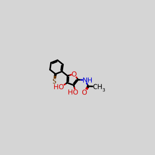 CC(=O)Nc1oc(C2=CC=CCC2=S)c(O)c1O